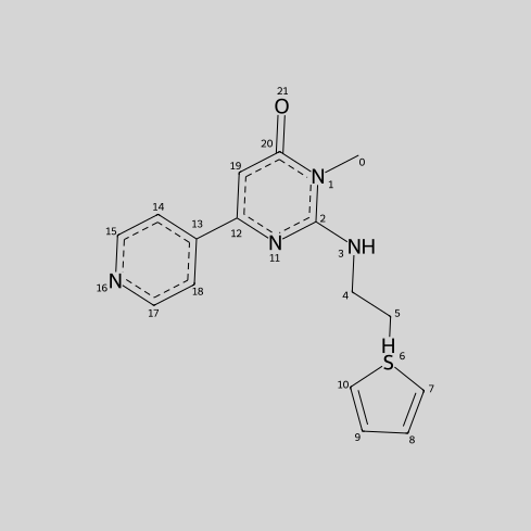 Cn1c(NCC[SH]2C=CC=C2)nc(-c2ccncc2)cc1=O